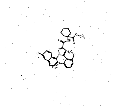 COC(=O)C1(NC(=O)c2cc(-c3c(OC)cccc3OC)n(-c3ccnc4cc(Cl)ccc34)n2)CCCCC1